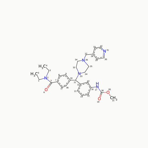 CCN(CC)C(=O)c1ccc(C(c2cccc(NC(=O)OC)c2)N2CCN(Cc3ccncc3)CC2)cc1